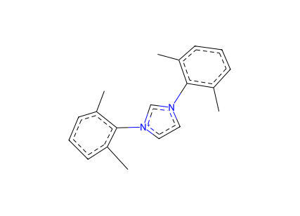 Cc1cccc(C)c1-n1cc[n+](-c2c(C)cccc2C)c1